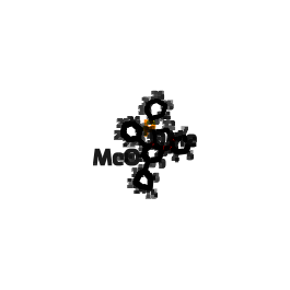 COc1c(-c2ccccc2)cc(-c2ccccc2)c(OC)c1-c1ccccc1P(C1CCCCC1)C1CCCCC1